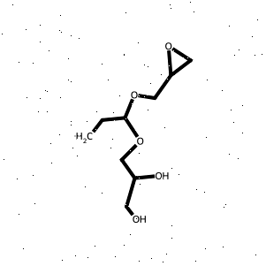 [CH2]CC(OCC(O)CO)OCC1CO1